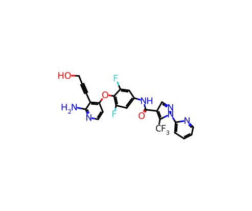 Nc1nccc(Oc2c(F)cc(NC(=O)c3cnn(-c4ccccn4)c3C(F)(F)F)cc2F)c1C#CCO